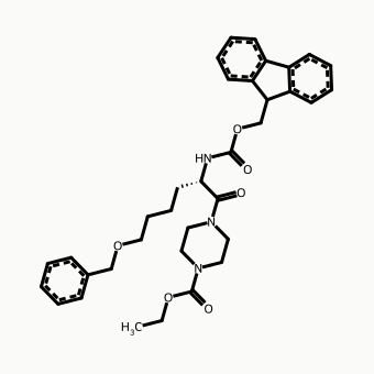 CCOC(=O)N1CCN(C(=O)[C@H](CCCCOCc2ccccc2)NC(=O)OCC2c3ccccc3-c3ccccc32)CC1